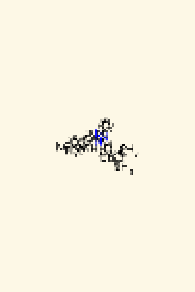 CCC1(c2ccc(-c3nc(-c4ccccc4)nc(-c4ccc5c(c4)C(C)(C)c4cc(C#N)ccc4-5)n3)cc2)C[C@H](C)CC[C@H](C)C1